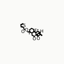 C=C1C(=O)[C@]23CC[C@H]1CC2[C@]1(CC)CCC[C@@](C)(COC(=O)c2cccs2)C1CC3=O